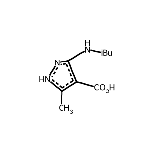 CCC(C)Nc1n[nH]c(C)c1C(=O)O